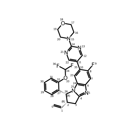 C=C[C@H]1Cc2nc3cc(F)c(-c4cnc(N5CCOCC5)nc4)cc3n2[C@H]1c1ccccc1OC(F)F